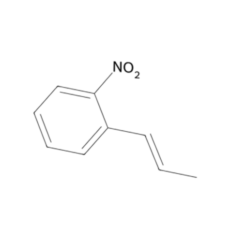 CC=Cc1ccccc1[N+](=O)[O-]